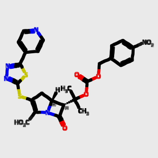 CC(C)(OC(=O)OCc1ccc([N+](=O)[O-])cc1)[C@@H]1C(=O)N2C(C(=O)O)=C(Sc3nnc(-c4ccncc4)s3)C[C@H]12